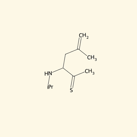 C=C(C)CC(NC(C)C)C(C)=S